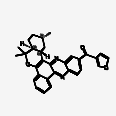 C[C@H]1CC[C@H]2[C@H](C1)c1c(c3ccccc3c3nc4ccc(C(=O)c5ccoc5)cc4nc13)OC2(C)C